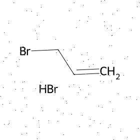 Br.C=CCBr